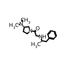 C[C@H](Cc1ccccc1)NCC(=O)N1CC[C@@H](N(C)C)C1